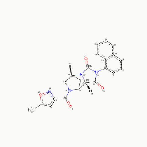 Cc1cc(C(=O)N2C[C@H]3CC2[C@H]2C(=O)N(c4cccc5ccccc45)C(=O)N32)no1